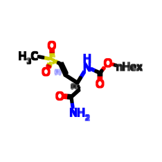 CCCCCCOC(=O)N[C@@H](/C=C/S(C)(=O)=O)CC(N)=O